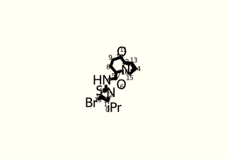 CC(C)c1nc(NC(=O)C2CCC(=O)c3cccn32)sc1Br